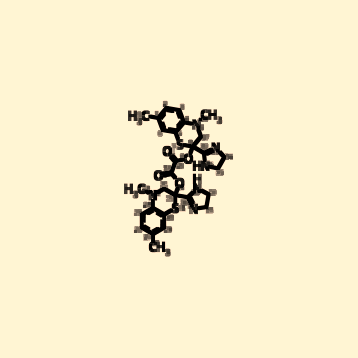 Cc1ccc2c(c1)SC(OC(=O)C(=O)OC1(C3=NCCN3)CN(C)c3ccc(C)cc3S1)(C1=NCCN1)CN2C